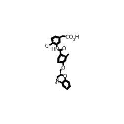 Cc1cc(OC[C@@H]2CN(C)c3ccccc3O2)ccc1C(=O)Nc1cc(CC(=O)O)ccc1Cl